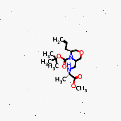 C=CC[C@H]1COC[C@@H](CN[C@@H](C)C(=O)OC)N1C(=O)OC(C)(C)C